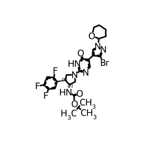 CC(C)(C)OC(=O)N[C@H]1CN(c2ncc(-c3cn(C4CCCCO4)nc3Br)c(=O)[nH]2)C[C@@H]1c1cc(F)c(F)cc1F